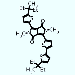 CCC(C)(CC)c1ccc(C2=C3C(=O)N(C)C(c4ccc(-c5ccc(C(C)(CC)CC)s5)s4)=C3C(=O)N2C)s1